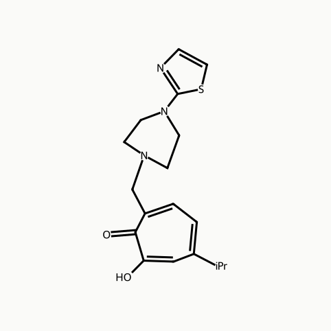 CC(C)c1ccc(CN2CCN(c3nccs3)CC2)c(=O)c(O)c1